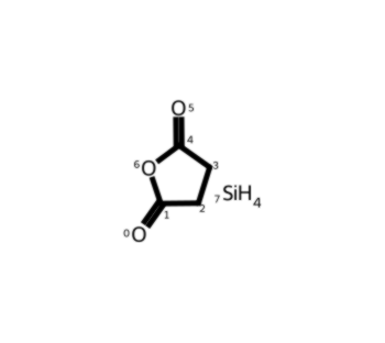 O=C1CCC(=O)O1.[SiH4]